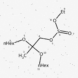 CCCCCCOC(C)(COS(=O)OCC)OCCCCCC